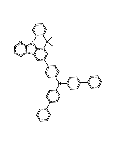 CC1(C)c2ccccc2-n2c3ncccc3c3cc(-c4ccc(N(c5ccc(-c6ccccc6)cc5)c5ccc(-c6ccccc6)cc5)cc4)cc1c32